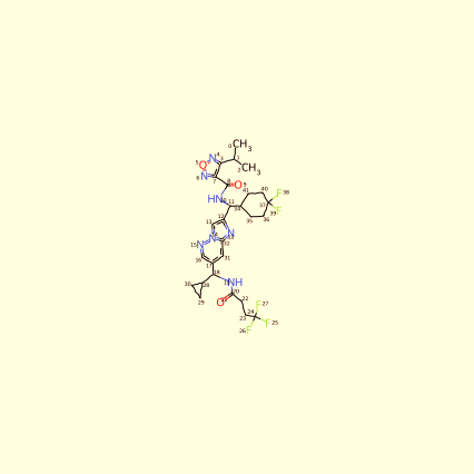 CC(C)c1nonc1C(=O)N[C@H](c1cn2ncc(C(NC(=O)CCC(F)(F)F)C3CC3)cc2n1)C1CCC(F)(F)CC1